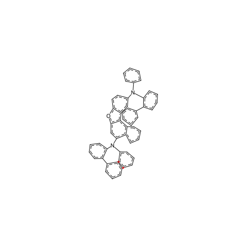 c1ccc(-c2ccccc2N(c2ccccc2)c2ccc3oc4cc(N(c5ccccc5)c5ccccc5-c5ccccc5)c5ccccc5c4c3c2)cc1